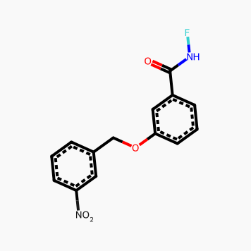 O=C(NF)c1cccc(OCc2cccc([N+](=O)[O-])c2)c1